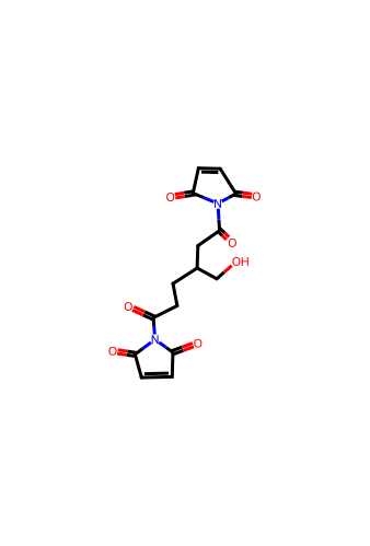 O=C1C=CC(=O)N1C(=O)CCC(CO)CC(=O)N1C(=O)C=CC1=O